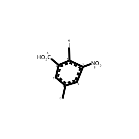 Cc1cc(C(=O)O)c(I)c([N+](=O)[O-])c1